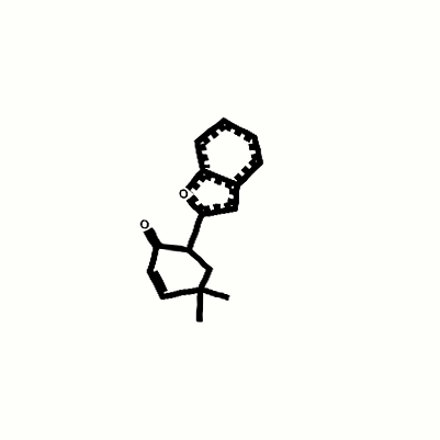 CC1(C)C=CC(=O)C(c2cc3ccccc3o2)C1